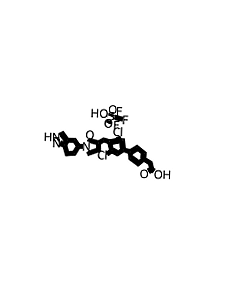 O=C(O)Cc1ccc(-c2cc(Cl)c(CC3CCN(C4CCc5n[nH]cc5C4)C3=O)c(Cl)c2)cc1.O=S(=O)(O)C(F)(F)F